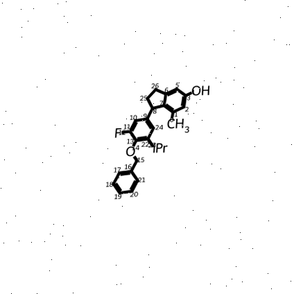 Cc1cc(O)cc2c1C(c1cc(F)c(OCc3ccccc3)c(C(C)C)c1)CC2